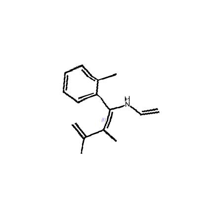 C=CN/C(=C(\C)C(=C)C)c1ccccc1C